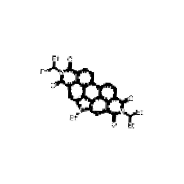 CCC(CC)n1c(=O)c2ccc3c4ccc5c(=O)n(C(CC)CC)c(=O)c6cc7c(c4c56)c4c3c2c(cc4n7CC)c1=O